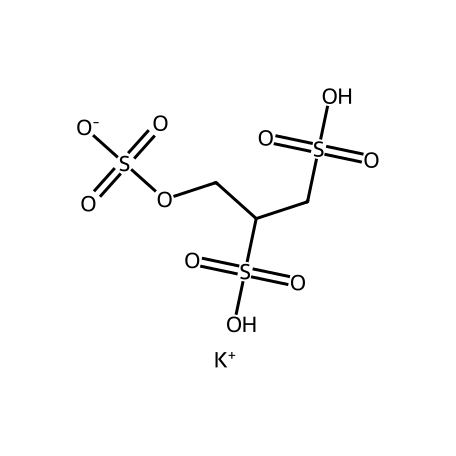 O=S(=O)(O)CC(COS(=O)(=O)[O-])S(=O)(=O)O.[K+]